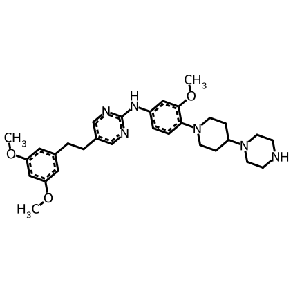 COc1cc(CCc2cnc(Nc3ccc(N4CCC(N5CCNCC5)CC4)c(OC)c3)nc2)cc(OC)c1